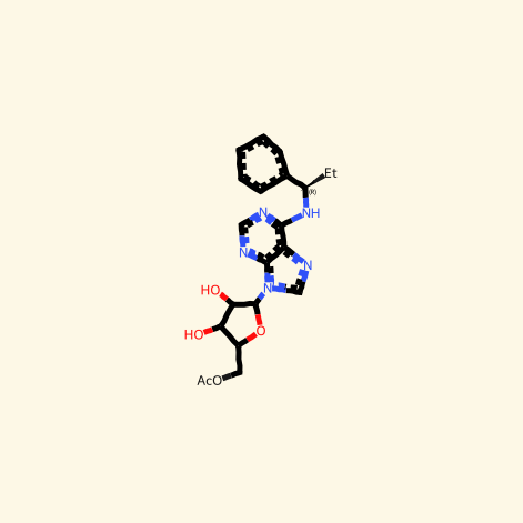 CC[C@@H](Nc1ncnc2c1ncn2C1OC(COC(C)=O)C(O)C1O)c1ccccc1